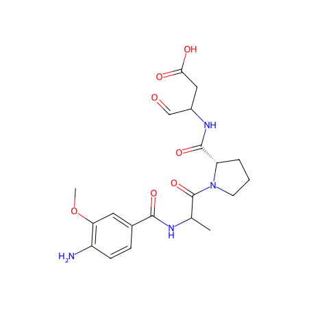 COc1cc(C(=O)NC(C)C(=O)N2CCC[C@H]2C(=O)NC(C=O)CC(=O)O)ccc1N